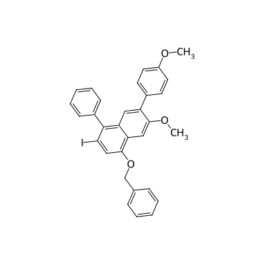 COc1ccc(-c2cc3c(-c4ccccc4)c(I)cc(OCc4ccccc4)c3cc2OC)cc1